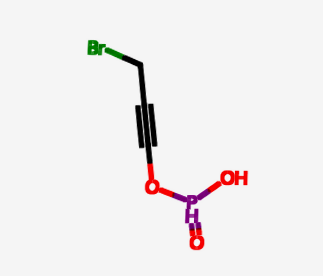 O=[PH](O)OC#CCBr